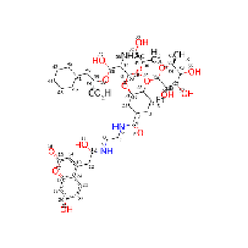 CCC1CC(C(=O)NCCNC(O)Cc2cc(=O)oc3cc(O)ccc23)C[C@@H](O[C@H](O[C@H](C)CO)C(NC(C)=O)C(O)O[C@@H](CC2CCCCC2)C(=O)O)C1OC1O[C@@H](C)C(O)C(O)[C@@H]1O